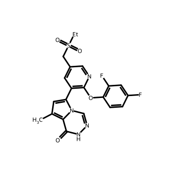 CCS(=O)(=O)Cc1cnc(Oc2ccc(F)cc2F)c(-c2cc(C)c3c(=O)[nH]ncn23)c1